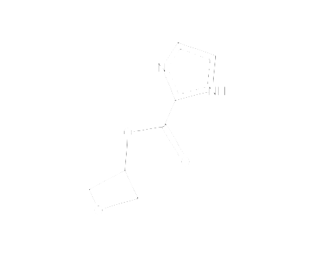 O=C(OC1COC1)c1ncc[nH]1